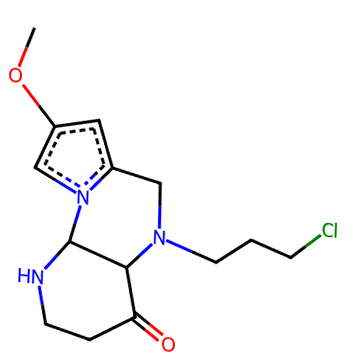 COc1cc2n(c1)C1NCCC(=O)C1N(CCCCl)C2